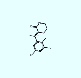 C/C(=C1/CCCNC1=O)c1cc(Cl)cc(Br)c1C